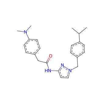 CC(C)c1ccc(Cn2ccc(NC(=O)Cc3ccc(N(C)C)cc3)n2)cc1